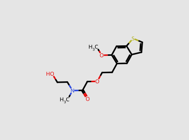 COc1cc2sccc2cc1CCOCC(=O)N(C)CCO